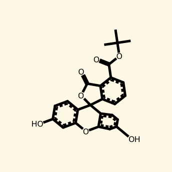 CC(C)(C)OC(=O)c1cccc2c1C(=O)OC21c2ccc(O)cc2Oc2cc(O)ccc21